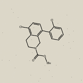 CC(C)(C)OC(=O)N1CCc2c(Cl)ccc(-c3ccccc3Cl)c2C1